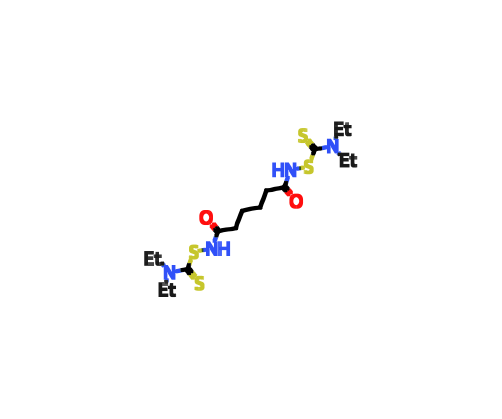 CCN(CC)C(=S)SNC(=O)CCCCC(=O)NSC(=S)N(CC)CC